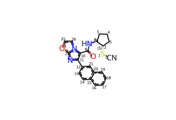 N#CS[C@H]1CCC[C@@H]1NC(=O)c1c(-c2ccc3ccccc3c2)nc2occn12